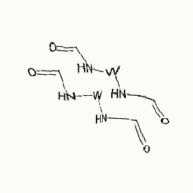 O=C[NH][W][NH]C=O.O=C[NH][W][NH]C=O